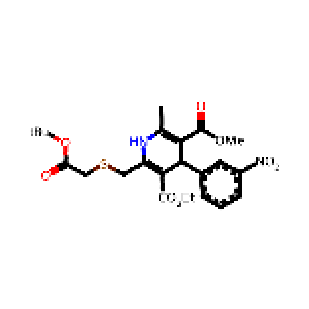 CCOC(=O)C1=C(CSCC(=O)OC(C)(C)C)NC(C)=C(C(=O)OC)C1c1cccc([N+](=O)[O-])c1